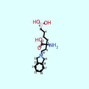 NC(CCCCB(O)O)(CCN1Cc2ccccc2C1)C(=O)O